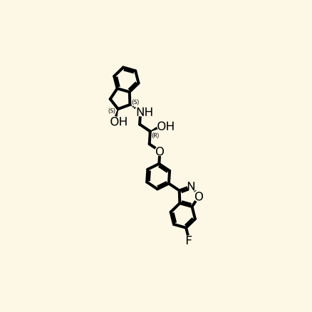 O[C@H](CN[C@H]1c2ccccc2C[C@@H]1O)COc1cccc(-c2noc3cc(F)ccc23)c1